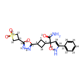 NC(=O)C1(C2CC(c3nnc(C4CS(=O)(=O)C4)o3)C2)C=C(c2ccccc2)NO1